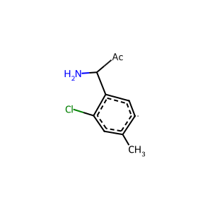 CC(=O)C(N)c1c[c]c(C)cc1Cl